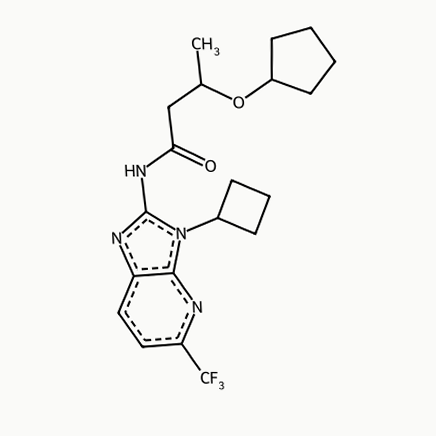 CC(CC(=O)Nc1nc2ccc(C(F)(F)F)nc2n1C1CCC1)OC1CCCC1